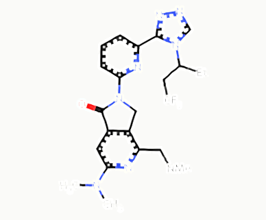 CCC(CC(F)(F)F)n1cnnc1-c1cccc(N2Cc3c(cc(N(C)C)nc3CNC)C2=O)n1